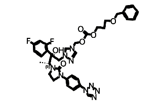 C[C@@H](N1CCN(c2ccc(-n3cnnn3)cc2)C1=O)[C@](O)(CN1CN(COC(=O)OCCCOCc2ccccc2)C=N1)c1ccc(F)cc1F